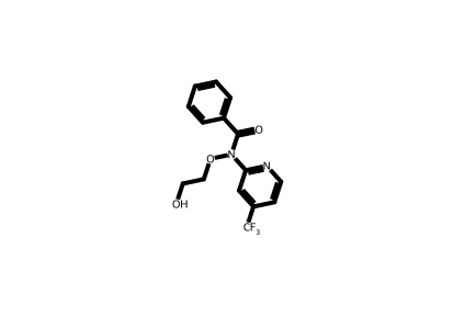 O=C(c1ccccc1)N(OCCO)c1cc(C(F)(F)F)ccn1